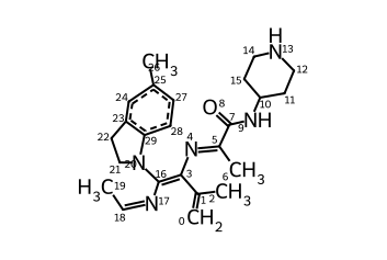 C=C(C)C(/N=C(\C)C(=O)NC1CCNCC1)=C(\N=C/C)N1CCc2cc(C)ccc21